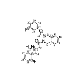 N[C@@H](CC(=O)N1Cc2ccccc2C[C@H]1COc1cccc(F)c1)Cc1ccccc1F